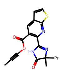 CC#COC(=O)c1cc2ccsc2nc1C1=NC(C)(C(C)C)C(=O)N1